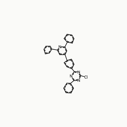 Clc1nc(-c2ccccc2)nc(-c2ccc(-c3cc(-c4ccccc4)nc(-c4ccccc4)c3)cc2)n1